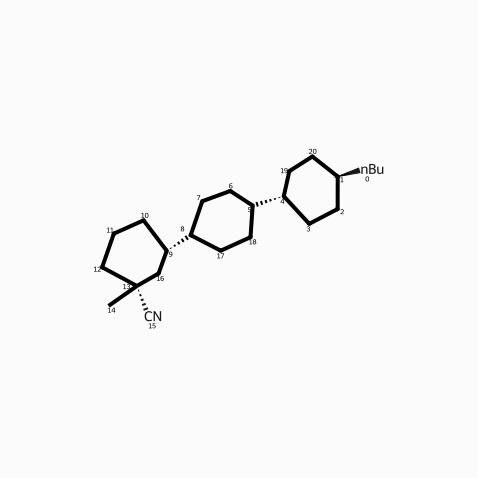 CCCC[C@H]1CC[C@H](C2CCC([C@H]3CCC[C@@](C)(C#N)C3)CC2)CC1